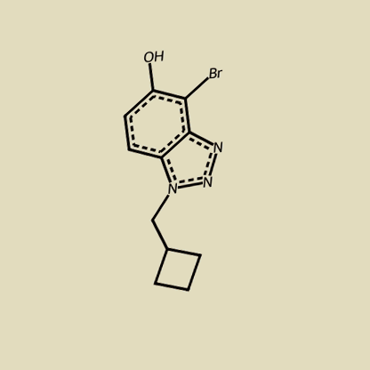 Oc1ccc2c(nnn2CC2CCC2)c1Br